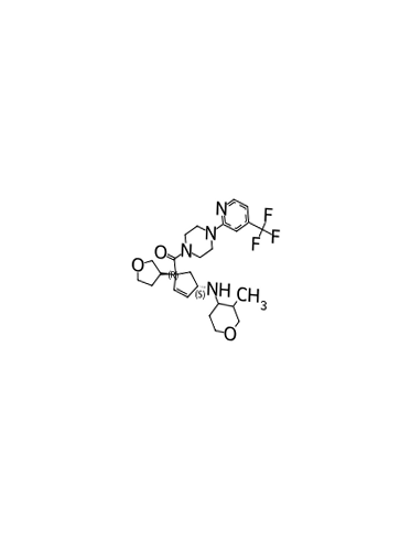 CC1COCCC1N[C@@H]1C=C[C@@](C(=O)N2CCN(c3cc(C(F)(F)F)ccn3)CC2)(C2CCOC2)C1